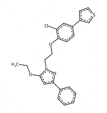 CCOc1cc(-c2ccccc2)nn1CCOc1ccc(-c2ccsc2)cc1Cl